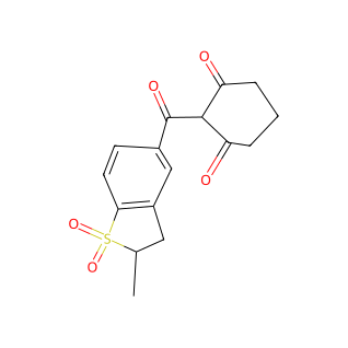 CC1Cc2cc(C(=O)C3C(=O)CCCC3=O)ccc2S1(=O)=O